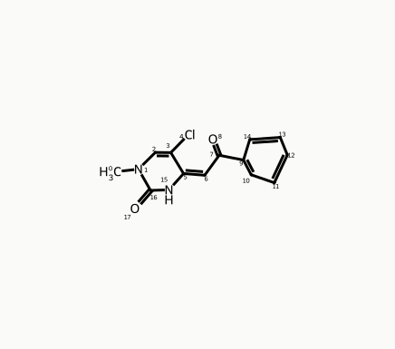 CN1C=C(Cl)/C(=C\C(=O)c2ccccc2)NC1=O